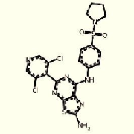 Nc1nc2c(Nc3ccc(S(=O)(=O)N4CCCC4)cc3)nc(-c3c(Cl)cncc3Cl)nc2s1